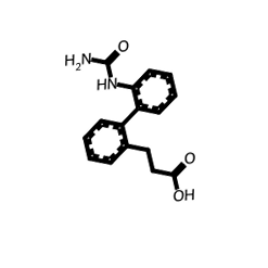 NC(=O)Nc1ccccc1-c1ccccc1CCC(=O)O